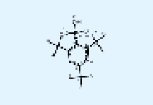 CC(C)(C)c1cc(C(C)(C)C)c([PH](O)(O)O)c(C(C)(C)C)c1